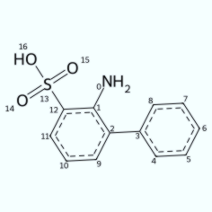 Nc1c(-c2ccccc2)cccc1S(=O)(=O)O